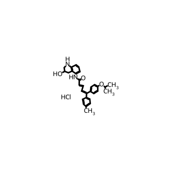 Cc1ccc(C(=CC=CC(=O)Nc2cccc3c2CC(O)CN3)c2ccc(OC(C)C)cc2)cc1.Cl